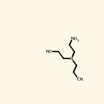 N#CCCN(CCN)CCC#N